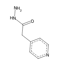 NNC(=O)Cc1ccncc1